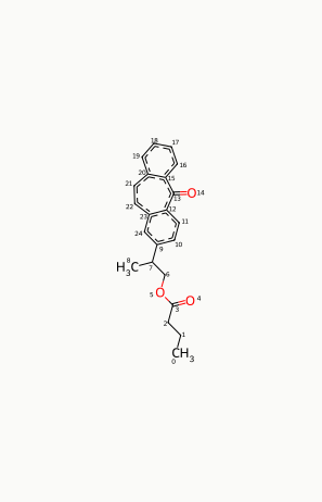 CCCC(=O)OCC(C)c1ccc2c(=O)c3ccccc3ccc2c1